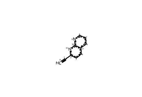 C#Cc1ccc2c[c]cnc2n1